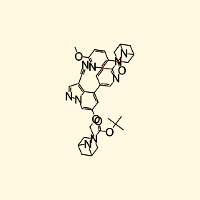 COc1ccc(C(=O)N2C3CC2CN(c2ccc(-c4cc(OCCN5C6CC5CN(C(=O)OC(C)(C)C)C6)cn5ncc(C#N)c45)cn2)C3)cn1